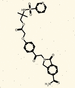 CC(C)(COC(=O)COc1ccc(C(=O)CN2Cc3cc(C(N)=S)ccc3C2=O)cc1)NS(=O)(=O)c1cccnc1